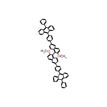 COc1ccc2cc(-c3ccc(-c4c5ccccc5c(-c5ccccc5)c5ccccc45)cc3)ccc2c1-c1c(OC)ccc2cc(-c3ccc(-c4c5ccccc5c(-c5ccccc5)c5ccccc45)cc3)ccc12